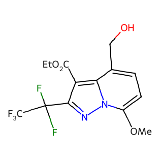 CCOC(=O)c1c(C(F)(F)C(F)(F)F)nn2c(OC)ccc(CO)c12